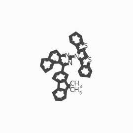 CC1(C)c2ccccc2-c2ccc(-c3nc(-n4c5c6ccccc6sc5c5sc6ccccc6c54)nc4ccc5ccccc5c34)cc21